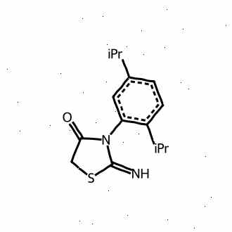 CC(C)c1ccc(C(C)C)c(N2C(=N)SCC2=O)c1